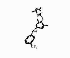 Cc1cc(C)nc(Sc2c(C)cc(OCc3cccc(C(F)(F)F)c3)cc2C)n1